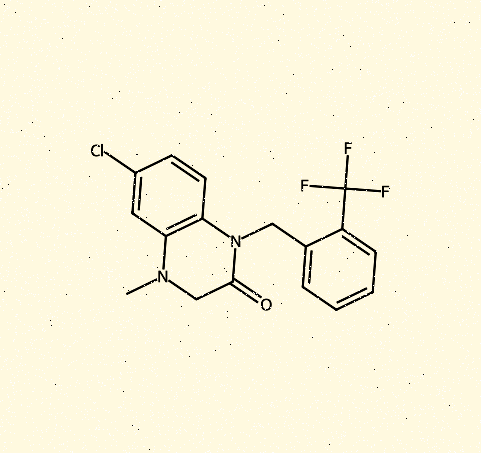 CN1CC(=O)N(Cc2ccccc2C(F)(F)F)c2ccc(Cl)cc21